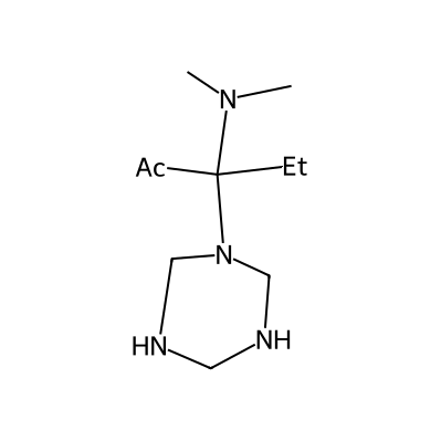 CCC(C(C)=O)(N(C)C)N1CNCNC1